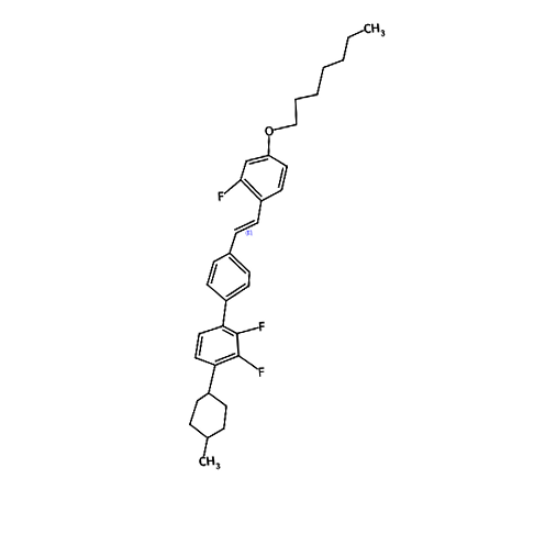 CCCCCCCOc1ccc(/C=C/c2ccc(-c3ccc(C4CCC(C)CC4)c(F)c3F)cc2)c(F)c1